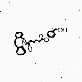 O=C(CCCCC(=O)N1Cc2ccccc2C#Cc2ccccc21)Oc1ccc(CO)cc1